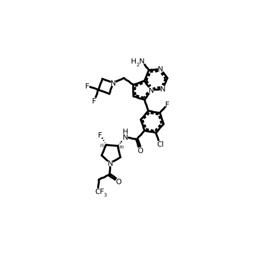 Nc1ncnn2c(-c3cc(C(=O)N[C@@H]4CN(C(=O)CC(F)(F)F)C[C@@H]4F)c(Cl)cc3F)cc(CN3CC(F)(F)C3)c12